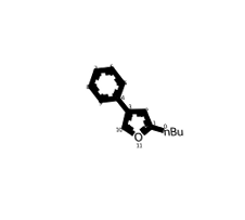 [CH2]CCCc1cc(-c2ccccc2)co1